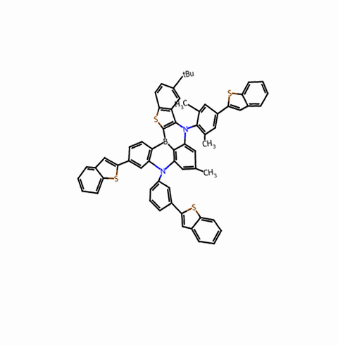 Cc1cc2c3c(c1)N(c1c(C)cc(-c4cc5ccccc5s4)cc1C)c1c(sc4ccc(C(C)(C)C)cc14)B3c1ccc(-c3cc4ccccc4s3)cc1N2c1cccc(-c2cc3ccccc3s2)c1